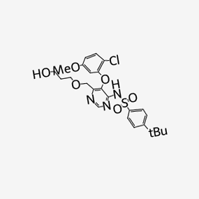 COc1ccc(Cl)c(Oc2c(COCCCO)ncnc2NS(=O)(=O)c2ccc(C(C)(C)C)cc2)c1